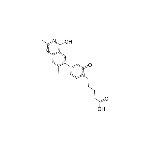 Cc1nc(O)c2cc(-c3ccn(CCCCC(=O)O)c(=O)c3)c(C)cc2n1